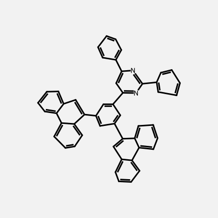 c1ccc(-c2cc(-c3cc(-c4cc5ccccc5c5ccccc45)cc(-c4cc5ccccc5c5ccccc45)c3)nc(-c3ccccc3)n2)cc1